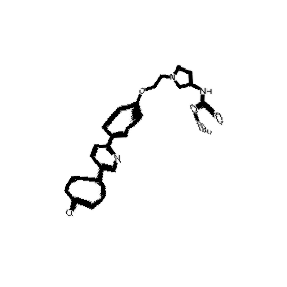 CC(C)(C)OC(=O)NC1CCN(CCOc2ccc(-c3ccc(-c4ccc(Cl)cc4)cn3)cc2)C1